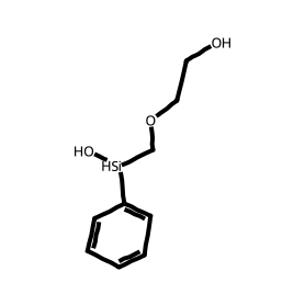 OCCOC[SiH](O)c1ccccc1